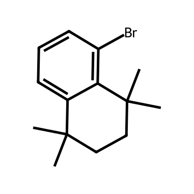 CC1(C)CCC(C)(C)c2c(Br)cccc21